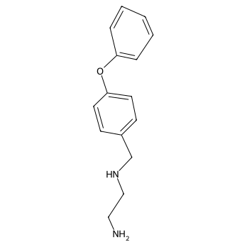 NCCNCc1ccc(Oc2ccccc2)cc1